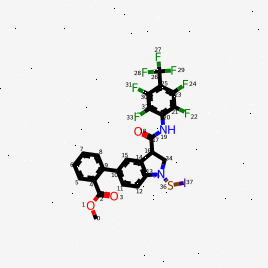 COC(=O)c1ccccc1-c1ccc2c(c1)C(C(=O)Nc1c(F)c(F)c(C(F)(F)F)c(F)c1F)CN2SI